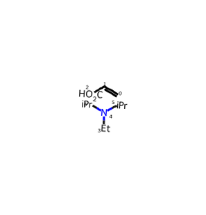 C=CC(=O)O.CCN(C(C)C)C(C)C